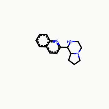 c1ccc2nc(C3NCCN4CCC[C]34)ccc2c1